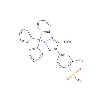 COc1nn(C(c2ccccc2)(c2ccccc2)c2ccccc2)cc1-c1ccc(S(C)(=O)=O)c(C)c1